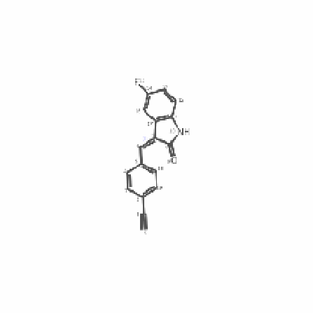 C#Cc1ccc(/C=C2\C(=O)Nc3ccc(F)cc32)cc1